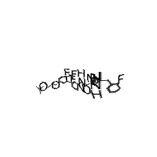 CC(C)OCCOc1ccc(C(F)(F)F)c(-c2ccnc(NC(=O)c3nnc(Cc4ccccc4F)[nH]3)c2)c1